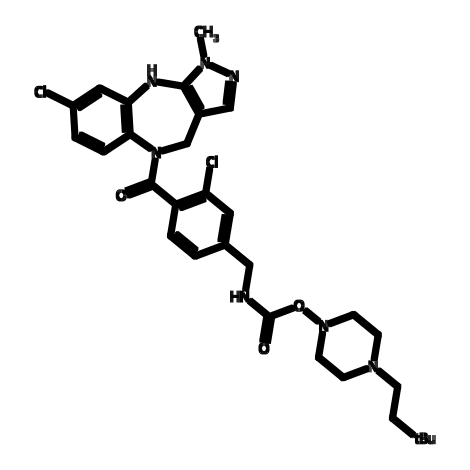 Cn1ncc2c1Nc1cc(Cl)ccc1N(C(=O)c1ccc(CNC(=O)ON3CCN(CCC(C)(C)C)CC3)cc1Cl)C2